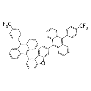 FC(F)(F)C1=CCC(c2c3ccccc3c(-c3cccc4oc5cc(-c6c7ccc#cc7c(-c7ccc(C(F)(F)F)cc7)c7ccccc67)ccc5c34)c3ccccc23)C=C1